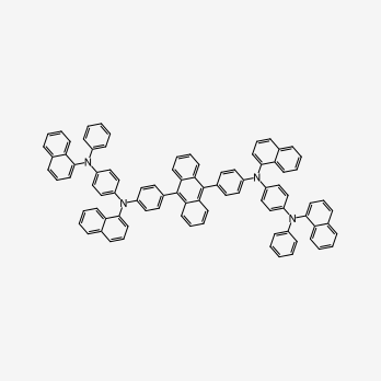 c1ccc(N(c2ccc(N(c3ccc(-c4c5ccccc5c(-c5ccc(N(c6ccc(N(c7ccccc7)c7cccc8ccccc78)cc6)c6cccc7ccccc67)cc5)c5ccccc45)cc3)c3cccc4ccccc34)cc2)c2cccc3ccccc23)cc1